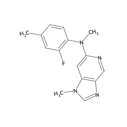 [CH2]c1ccc(N(C)c2cc3c(cn2)ncn3C)c(F)c1